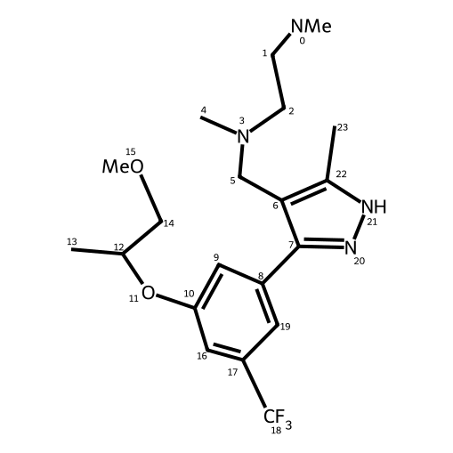 CNCCN(C)Cc1c(-c2cc(OC(C)COC)cc(C(F)(F)F)c2)n[nH]c1C